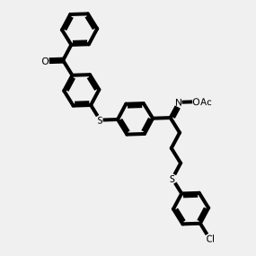 CC(=O)O/N=C(\CCCSc1ccc(Cl)cc1)c1ccc(Sc2ccc(C(=O)c3ccccc3)cc2)cc1